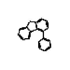 [c]1cc[c]c(-c2cccc3oc4ccccc4c23)c1